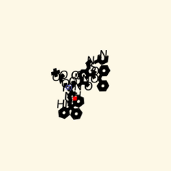 CC(C)(C)OC(=O)CO/N=C(\C(=O)NC1C(=O)N2C(C(=O)OC(c3ccccc3)c3ccccc3)=C(c3cnc(-c4cccnc4)s3)C[S+]([O-])C12)c1csc(NC(c2ccccc2)(c2ccccc2)c2ccccc2)n1